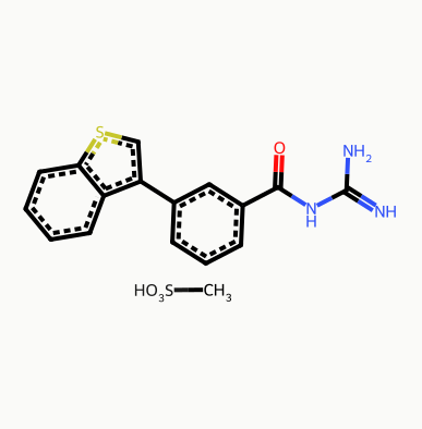 CS(=O)(=O)O.N=C(N)NC(=O)c1cccc(-c2csc3ccccc23)c1